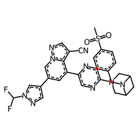 CS(=O)(=O)c1ccc(CN2C3CC2CN(c2cnc(-c4cc(-c5cnn(C(F)F)c5)cn5ncc(C#N)c45)cn2)C3)cc1